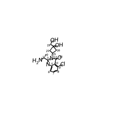 C[C@H](N)c1nc2cccc(Cl)c2c(=O)n1C1CC(O)(CO)C1